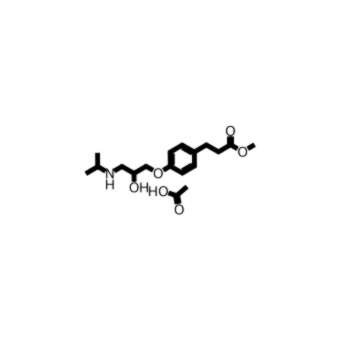 CC(=O)O.COC(=O)CCc1ccc(OCC(O)CNC(C)C)cc1